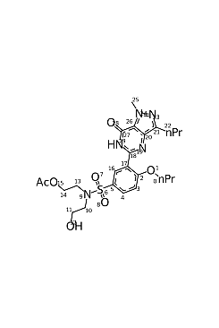 CCCOc1ccc(S(=O)(=O)N(CCO)CCOC(C)=O)cc1-c1nc2c(CCC)nn(C)c2c(=O)[nH]1